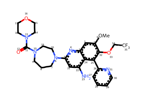 COc1cc2nc(N3CCCN(C(=O)N4CCOCC4)CC3)cc(N)c2c(-c2ccccn2)c1OCC(F)(F)F